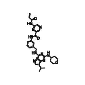 C=CC(=O)Nc1cncc(C(=O)Nc2cccc(CNc3nc(NC4CCOCC4)nc4c(C(C)C)cnn34)c2)n1